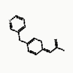 C=C(C)/C=C1/C=CC(Cc2cccnc2)=CC1